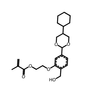 C=C(C)C(=O)OCCOc1cc(C2OCC(C3CCCCC3)CO2)ccc1CO